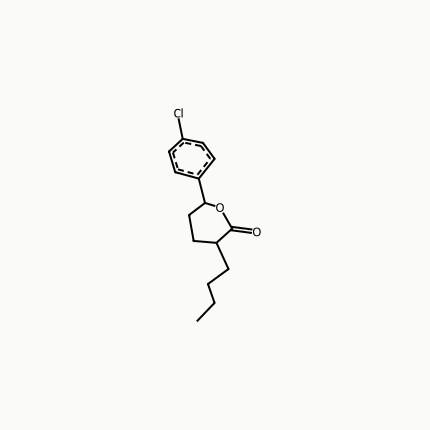 CCCCC1CCC(c2ccc(Cl)cc2)OC1=O